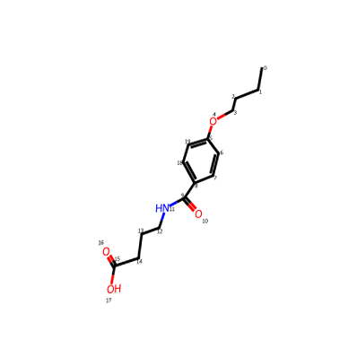 CCCCOc1ccc(C(=O)NCCCC(=O)O)cc1